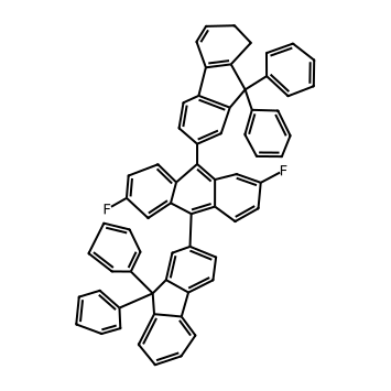 Fc1ccc2c(-c3ccc4c(c3)C(c3ccccc3)(c3ccccc3)c3ccccc3-4)c3cc(F)ccc3c(-c3ccc4c(c3)C(c3ccccc3)(c3ccccc3)C3=C4C=CCC3)c2c1